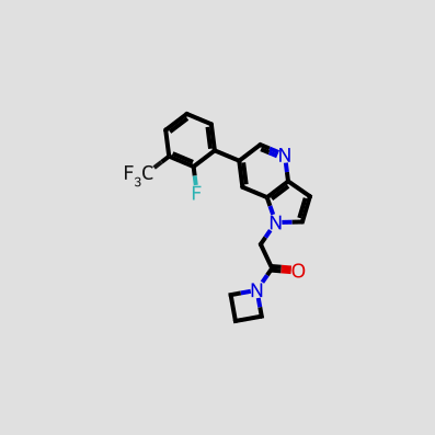 O=C(Cn1ccc2ncc(-c3cccc(C(F)(F)F)c3F)cc21)N1CCC1